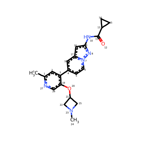 Cc1cc(-c2ccn3nc(NC(=O)C4CC4)cc3c2)c(OC2CN(C)C2)cn1